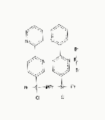 CC(C)[Si](Cl)(c1ccc(-c2ccccn2)nc1)C(C)C.CC(C)[Si](Cl)(c1ccc(-c2ccccn2)nc1)C(C)C.[Br][Ru][Br]